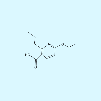 CCCc1nc(OCC)ccc1C(=O)O